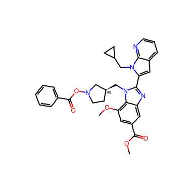 COC(=O)c1cc(OC)c2c(c1)nc(-c1cc3cccnc3n1CC1CC1)n2C[C@H]1CCN(OC(=O)c2ccccc2)C1